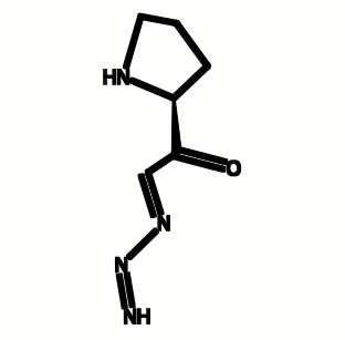 N=NN=CC(=O)[C@@H]1CCCN1